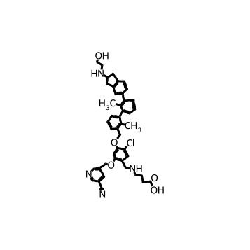 Cc1c(COc2cc(OCc3cncc(C#N)c3)c(CNCCCC(=O)O)cc2Cl)cccc1-c1cccc(-c2ccc3c(c2)CC(NCCO)C3)c1C